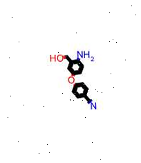 N#Cc1ccc(Oc2ccc(N)c(CO)c2)cc1